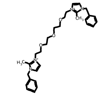 Cc1n(Cc2ccccc2)cc[n+]1CCOCCOCCOCC[n+]1ccn(Cc2ccccc2)c1C